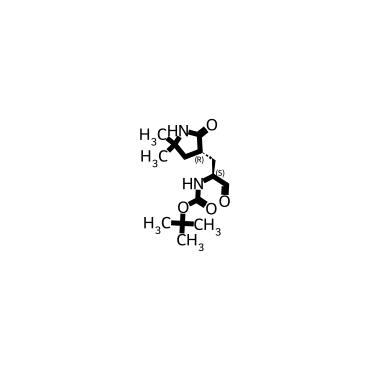 CC1(C)C[C@@H](C[C@@H](C=O)NC(=O)OC(C)(C)C)C(=O)N1